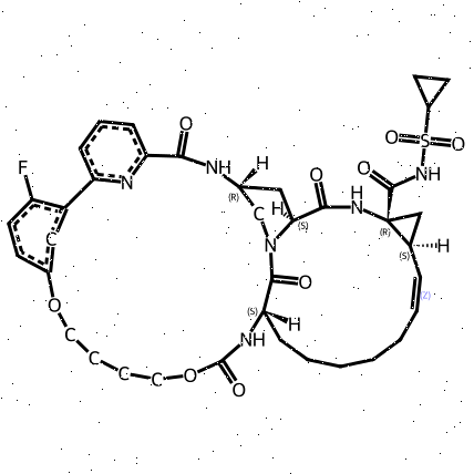 O=C1N[C@H]2CCCCC/C=C\[C@@H]3C[C@@]3(C(=O)NS(=O)(=O)C3CC3)NC(=O)[C@@H]3C[C@H](CN3C2=O)NC(=O)c2cccc(n2)-c2cc(ccc2F)OCCCCO1